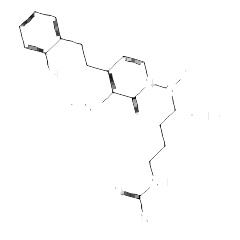 CC(=O)Nc1c(CCc2ccccc2O)ccn(N(C(C)=O)[C@H](C=O)CCCNC(=N)N)c1=O